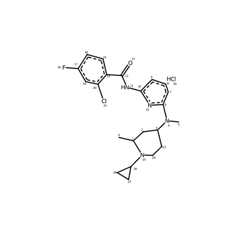 CC1CC(N(C)c2cccc(NC(=O)c3ccc(F)cc3Cl)n2)CCN1C1CC1.Cl